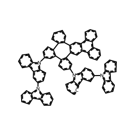 c1ccc2c(c1)-c1ccc(-n3c4ccccc4c4cc(-n5c6ccccc6c6ccccc65)ccc43)cc1-c1ccc(-n3c4ccccc4c4cc(-n5c6ccccc6c6ccccc65)ccc43)cc1-c1cc3c4ccccc4c4ccccc4c3cc1-2